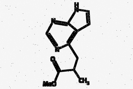 COC(=O)C(C)Cc1ncnc2[nH]ccc12